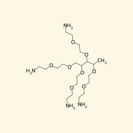 CC(OCCOCCN)C(OCCOCCN)C(COCCOCCN)OCCOCCN